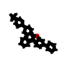 C[Si](C)(C)c1ccc(-c2ccc3c(c2)c2ccccc2c2c4ccc(-c5ccccc5)cc4oc32)cc1